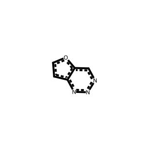 c1cc2nnncc2o1